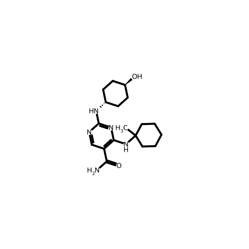 CC1(Nc2nc(N[C@H]3CC[C@H](O)CC3)ncc2C(N)=O)CCCCC1